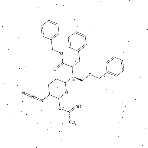 [N-]=[N+]=NC1CCC([C@H](COCc2ccccc2)N(Cc2ccccc2)C(=O)OCc2ccccc2)OC1OC(=N)C(Cl)(Cl)Cl